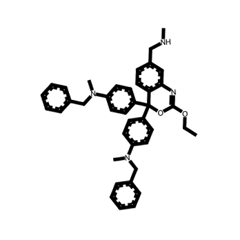 CCOC1=Nc2cc(CNC)ccc2C(c2ccc(N(C)Cc3ccccc3)cc2)(c2ccc(N(C)Cc3ccccc3)cc2)O1